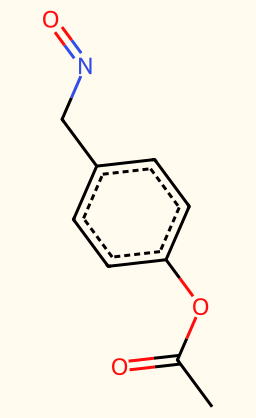 CC(=O)Oc1ccc(CN=O)cc1